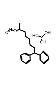 CC(CCCCCC(c1ccccc1)c1ccccc1)ON=O.OP(O)O